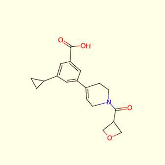 O=C(O)c1cc(C2=CCN(C(=O)C3COC3)CC2)cc(C2CC2)c1